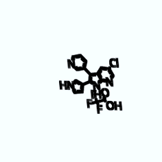 Clc1cnc2[nH]c(-c3cc[nH]c3)c(-c3cccnc3)c2c1.O=C(O)C(F)(F)F